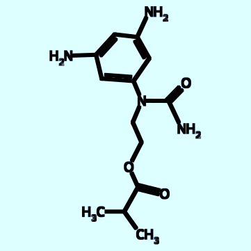 CC(C)C(=O)OCCN(C(N)=O)c1cc(N)cc(N)c1